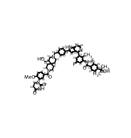 COc1ccc(C(=O)N2CCC3(CCN(Cc4ccc(-c5cc6c(-c7cc(F)cc(NC(=O)c8ccc(C(C)(C)O)cc8F)c7C)ncnc6[nH]5)cc4)C[C@@H]3CO)CC2)cc1N1CCC(=O)NC1=O